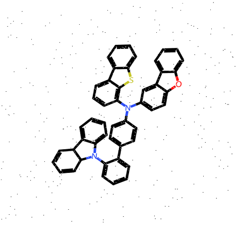 C1=CC2c3ccccc3N(c3ccccc3-c3ccc(N(c4ccc5oc6ccccc6c5c4)c4cccc5c4sc4ccccc45)cc3)C2C=C1